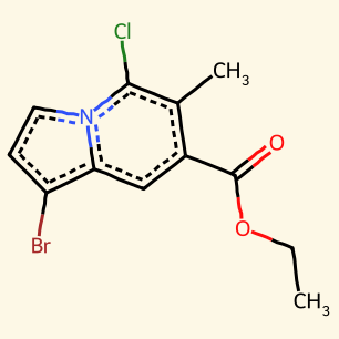 CCOC(=O)c1cc2c(Br)ccn2c(Cl)c1C